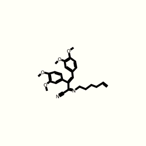 C=CCCCC/N=C(C#N)\C(=C\c1ccc(OC)c(OC)c1)c1ccc(OC)c(OC)c1